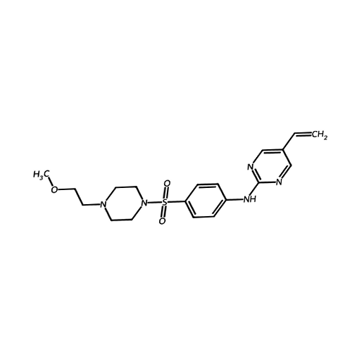 C=Cc1cnc(Nc2ccc(S(=O)(=O)N3CCN(CCOC)CC3)cc2)nc1